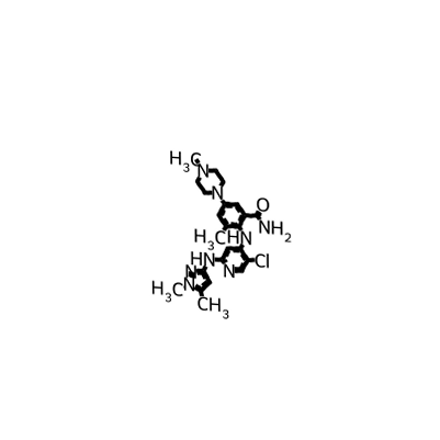 Cc1cc(N2CCN(C)CC2)cc(C(N)=O)c1Nc1cc(Nc2cc(C)n(C)n2)ncc1Cl